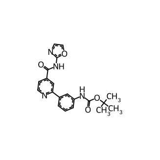 CC(C)(C)OC(=O)Nc1cccc(-c2cc(C(=O)Nc3ncco3)ccn2)c1